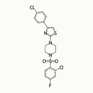 O=S(=O)(c1ccc(F)cc1Cl)N1CCN(c2nc(-c3ccc(Cl)cc3)cs2)CC1